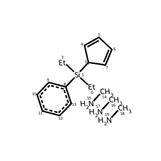 CC[Si](CC)([C]1C=CC=C1)c1ccccc1.CN.CN.CN